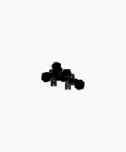 O=C(NCCCCC(NC(=O)c1ccccc1)C(=O)N(Cc1cccs1)Cc1cccs1)OCc1ccccc1